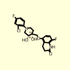 O=C1CCc2c(OC[C@]3(O)CCN(c4ccc(F)cc4Cl)C[C@H]3O)ccc(F)c2N1